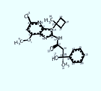 COc1cc(Cl)nc2c1nc(NC(=O)C[C@@](C)(O)c1ccccc1)n2C1(C)CCC1